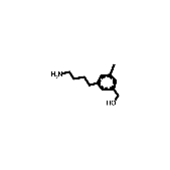 Cc1cc(CO)cc(CCCCN)c1